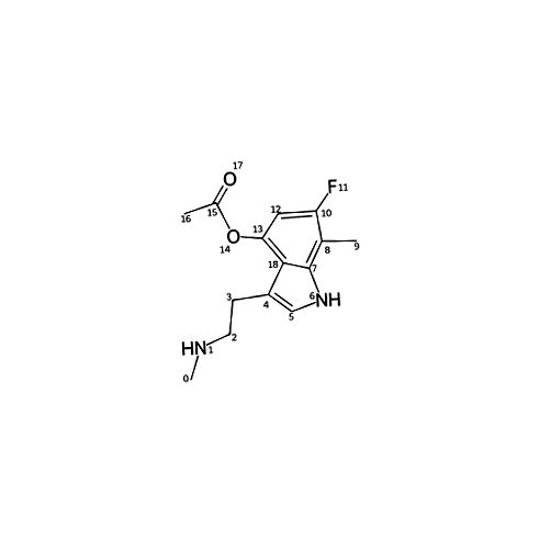 CNCCc1c[nH]c2c(C)c(F)cc(OC(C)=O)c12